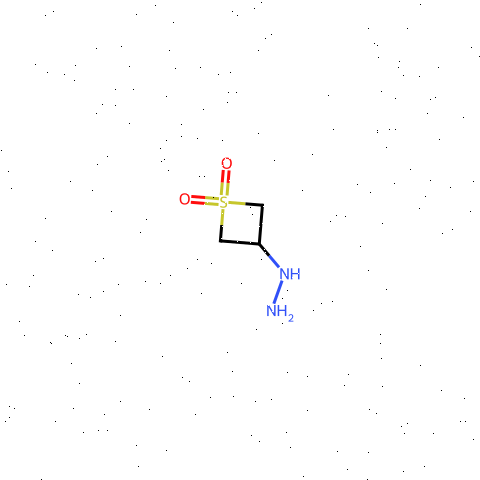 NNC1CS(=O)(=O)C1